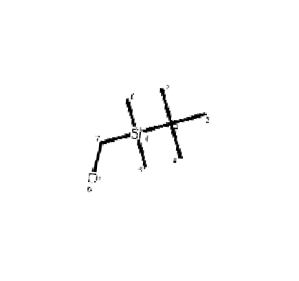 CC(C)(C)[Si](C)(C)C[O]